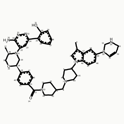 Cc1cn(C2CCN(CC3CCN(C(=O)c4ccc([C@@H]5CN(c6cc(-c7ccccc7O)nnc6N)[C@H](C)CO5)cc4)CC3)CC2)c2ccc(N3C=CCNC3)cc12